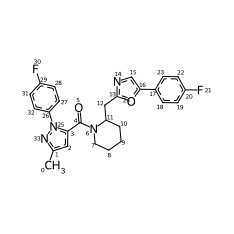 Cc1cc(C(=O)N2CCCCC2Cc2ncc(-c3ccc(F)cc3)o2)n(-c2ccc(F)cc2)n1